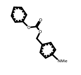 CNc1ccc(COC(=O)Oc2ccccc2)cc1